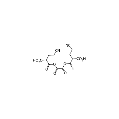 N#CCCC(C(=O)O)C(=O)OC(=O)C(=O)OC(=O)C(CCC#N)C(=O)O